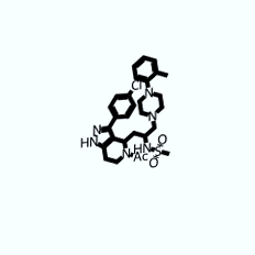 CC(=O)N1CCc2[nH]nc(-c3ccc(Cl)cc3)c2C1CC(CN1CCN(c2ccccc2C)CC1)NS(C)(=O)=O